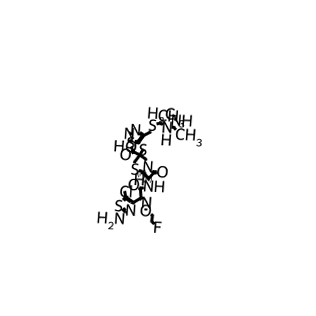 CNC(C)NC(C)SCc1nnsc1SC1(C(=O)O)CS[C@@H]2[C@H](NC(=O)C(=NOCCF)c3nc(N)sc3Cl)C(=O)N2C1